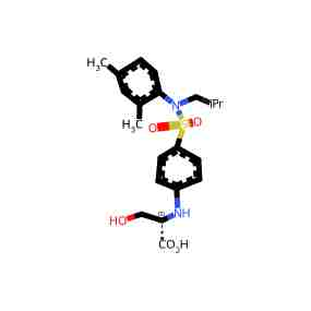 Cc1ccc(N(CC(C)C)S(=O)(=O)c2ccc(N[C@@H](CO)C(=O)O)cc2)c(C)c1